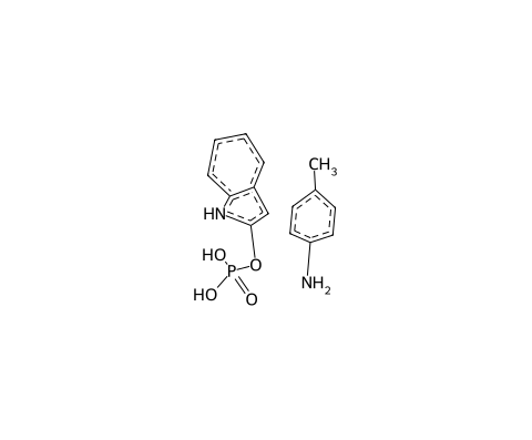 Cc1ccc(N)cc1.O=P(O)(O)Oc1cc2ccccc2[nH]1